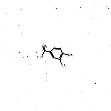 C=C(N)c1ccc(C)c(N)c1